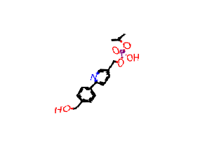 CC(C)OP(=O)(O)OCc1ccc(-c2ccc(CO)cc2)nc1